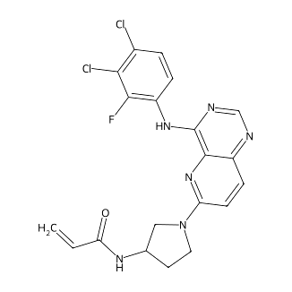 C=CC(=O)NC1CCN(c2ccc3ncnc(Nc4ccc(Cl)c(Cl)c4F)c3n2)C1